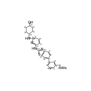 CNCc1cncc(-c2ccc3nc(Nc4cccc(NC5CCC(O)CC5)n4)sc3c2)c1